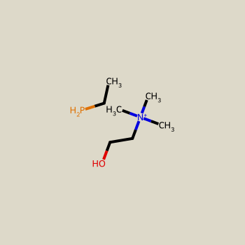 CCP.C[N+](C)(C)CCO